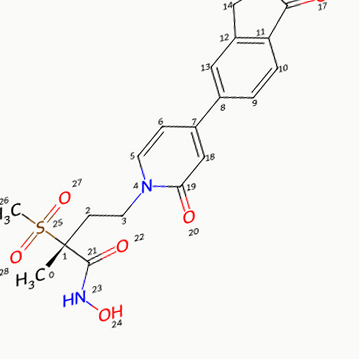 C[C@@](CCn1ccc(-c2ccc3c(c2)CCC3=O)cc1=O)(C(=O)NO)S(C)(=O)=O